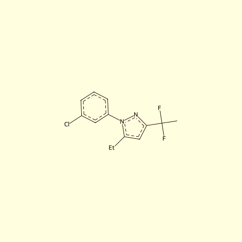 CCc1cc(C(C)(F)F)nn1-c1cccc(Cl)c1